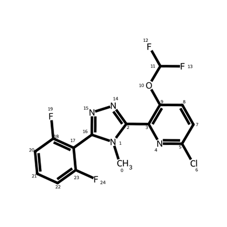 Cn1c(-c2nc(Cl)ccc2OC(F)F)nnc1-c1c(F)cccc1F